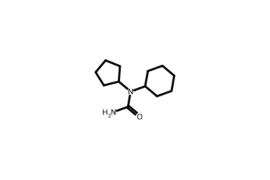 NC(=O)N(C1CCCCC1)C1CCCC1